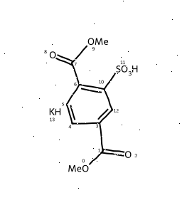 COC(=O)c1ccc(C(=O)OC)c(S(=O)(=O)O)c1.[KH]